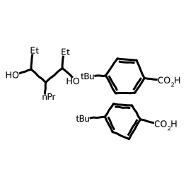 CC(C)(C)c1ccc(C(=O)O)cc1.CC(C)(C)c1ccc(C(=O)O)cc1.CCCC(C(O)CC)C(O)CC